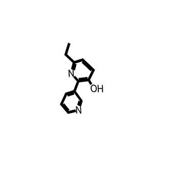 CCc1ccc(O)c(-c2cccnc2)n1